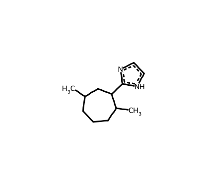 CC1CCCC(C)C(c2ncc[nH]2)C1